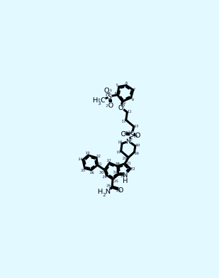 CS(=O)(=O)c1ccccc1OCCCS(=O)(=O)N1CCC(c2c[nH]c3c(C(N)=O)cc(-c4ccccc4)cc23)CC1